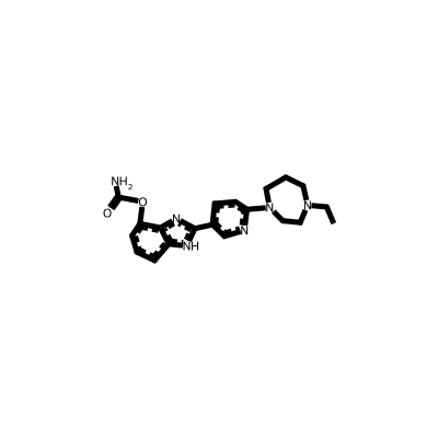 CCN1CCCN(c2ccc(-c3nc4c(OC(N)=O)cccc4[nH]3)cn2)CC1